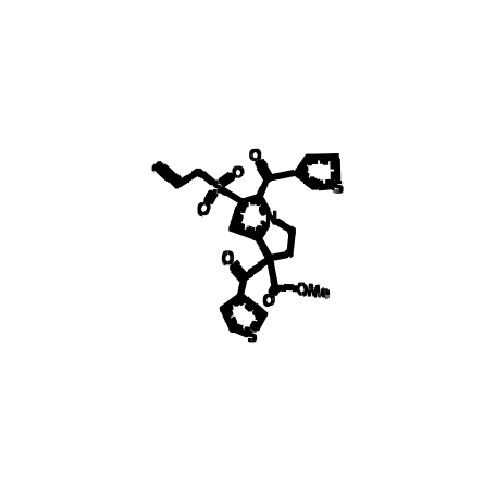 C=CCS(=O)(=O)c1cc2n(c1C(=O)c1ccsc1)CCC2(C(=O)OC)C(=O)c1ccsc1